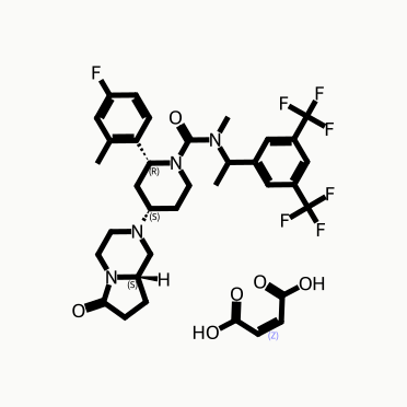 Cc1cc(F)ccc1[C@H]1C[C@@H](N2CCN3C(=O)CC[C@H]3C2)CCN1C(=O)N(C)C(C)c1cc(C(F)(F)F)cc(C(F)(F)F)c1.O=C(O)/C=C\C(=O)O